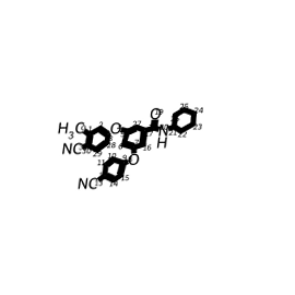 Cc1cc(Oc2cc(Oc3ccc(C#N)cc3)cc(C(=O)NC3CC[CH]CC3)c2)ccc1C#N